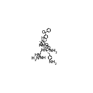 CC(=O)N[C@@H](Cc1ccc(C(=O)c2ccccc2)cc1)C(=O)N[C@@H](CCCCNC(=N)N)C(=O)N[C@@H](CCc1ccc(N)cc1)C(N)=O